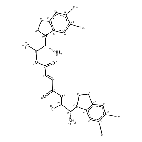 CC(OC(=O)/C=C/C(=O)OC(C)[C@@H](N)N1CCc2cc(F)c(I)cc21)[C@@H](N)N1CCc2cc(F)c(I)cc21